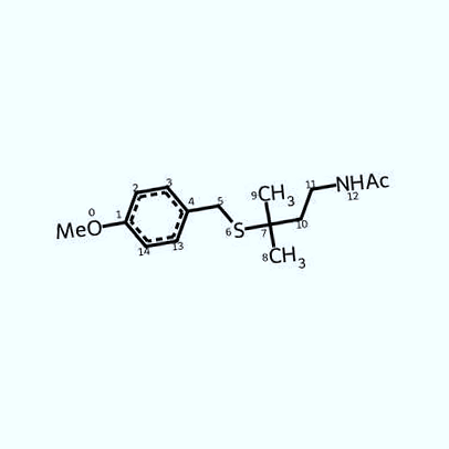 COc1ccc(CSC(C)(C)CCNC(C)=O)cc1